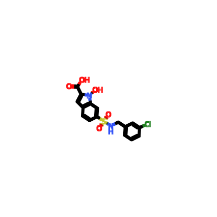 O=C(O)c1cc2ccc(S(=O)(=O)NCc3cccc(Cl)c3)cc2n1O